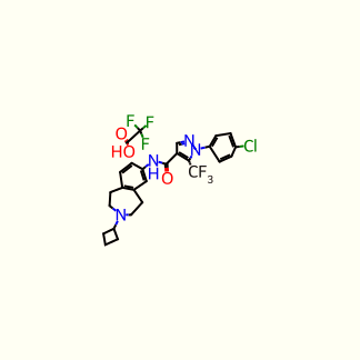 O=C(Nc1ccc2c(c1)CCN(C1CCC1)CC2)c1cnn(-c2ccc(Cl)cc2)c1C(F)(F)F.O=C(O)C(F)(F)F